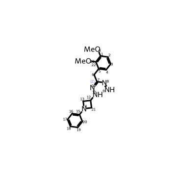 COc1cccc(C/C(N=N)=N/NC2CN(c3ccccc3)C2)c1OC